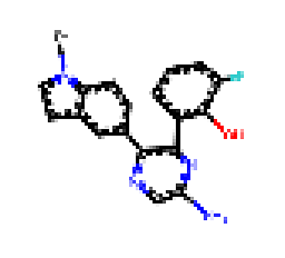 CCn1ccc2cc(-c3ncc(N)nc3-c3cccc(F)c3O)ccc21